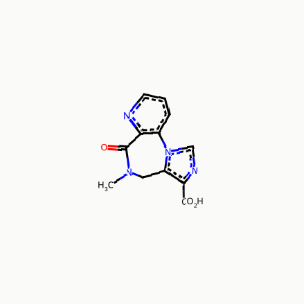 CN1Cc2c(C(=O)O)ncn2-c2cccnc2C1=O